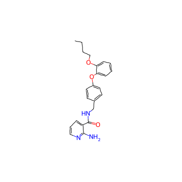 CCCCOc1ccccc1Oc1ccc(CNC(=O)c2cccnc2N)cc1